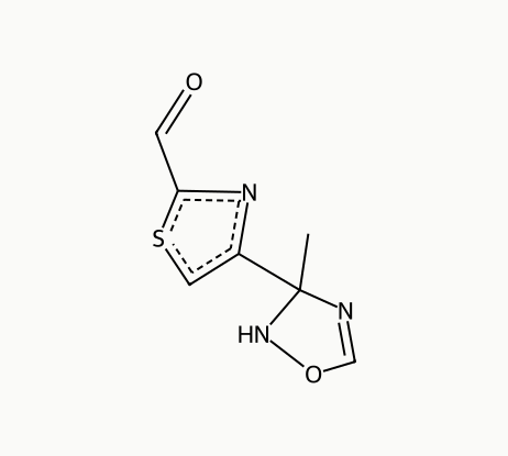 CC1(c2csc(C=O)n2)N=CON1